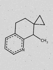 CC1c2ncccc2CCC12CC2